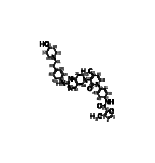 Cc1ccoc1C(=O)Nc1ccc(-n2ccc(C)c(N3CCc4nc(Nc5ccc(CCN6CCC(O)CC6)cc5)ncc4C3)c2=O)cc1